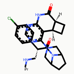 CC(C)NC[C@@H](C(=O)N1C2CCC1CN(c1ncnc3c1[C@@H]1CC[C@@H]1C(=O)N3)C2)c1ccc(Cl)cc1